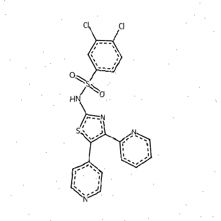 O=S(=O)(Nc1nc(-c2ccccn2)c(-c2ccncc2)s1)c1ccc(Cl)c(Cl)c1